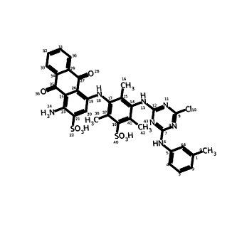 Cc1cccc(Nc2nc(Cl)nc(Nc3c(C)c(Nc4cc(S(=O)(=O)O)c(N)c5c4C(=O)c4ccccc4C5=O)c(C)c(S(=O)(=O)O)c3C)n2)c1